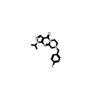 CC(C)n1ncc2c(=O)n3c(nc21)CN(Cc1ccc(F)cc1)CC3